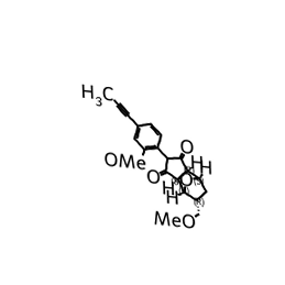 CC#Cc1ccc(C2C(=O)[C@@H]3[C@@H]4O[C@@H](C[C@@H]4COC)[C@@H]3C2=O)c(OC)c1